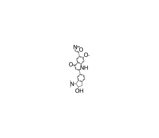 COc1cc2[nH]c(-c3ccc4c(c3)C(N(C)C)C(O)C4)cc(=O)c2cc1-c1cnco1